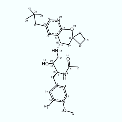 COc1ccc(C[C@H](NC(C)=O)[C@@H](O)CN[C@H]2CC3(CCC3)Oc3ncc(CC(C)(C)C)cc32)cc1F